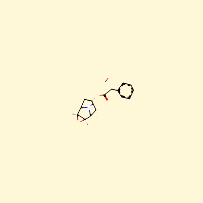 CN1[C@@H]2C[C@@H](OC(=O)[C@H](CO)c3ccccc3)C[C@H]1[C@@H]1O[C@@H]12.Cl